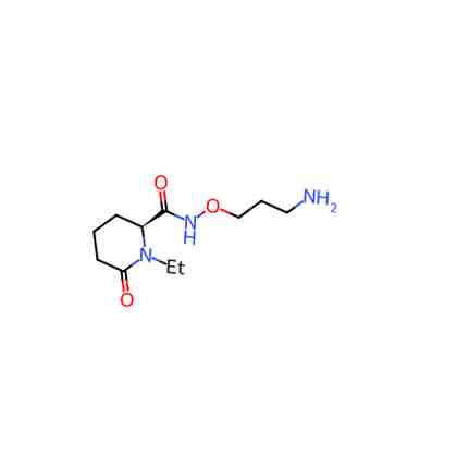 CCN1C(=O)CCC[C@H]1C(=O)NOCCCN